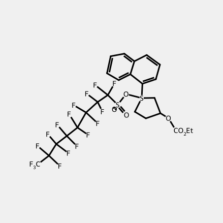 CCOC(=O)OC1CCS(OS(=O)(=O)C(F)(F)C(F)(F)C(F)(F)C(F)(F)C(F)(F)C(F)(F)C(F)(F)C(F)(F)F)(c2cccc3ccccc23)C1